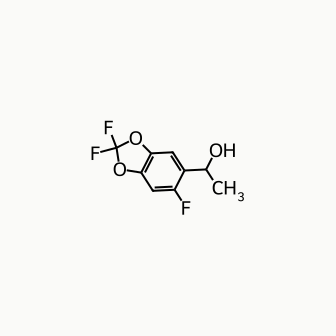 CC(O)c1cc2c(cc1F)OC(F)(F)O2